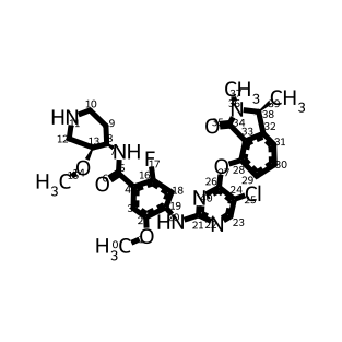 COc1cc(C(=O)N[C@@H]2CCNC[C@@H]2OC)c(F)cc1Nc1ncc(Cl)c(Oc2cccc3c2C(=O)N(C)[C@H]3C)n1